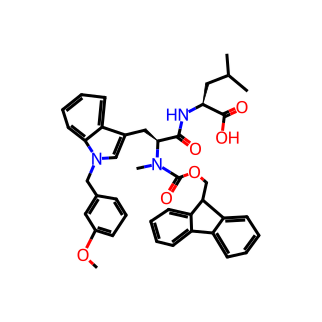 COc1cccc(Cn2cc(C[C@@H](C(=O)N[C@@H](CC(C)C)C(=O)O)N(C)C(=O)OCC3c4ccccc4-c4ccccc43)c3ccccc32)c1